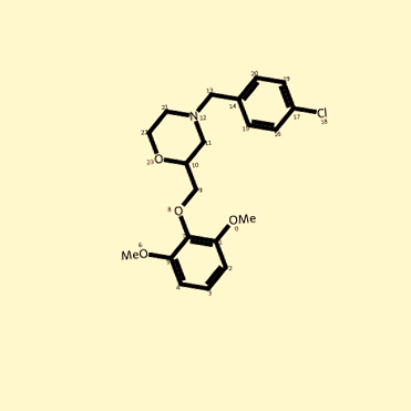 COc1cccc(OC)c1OCC1CN(Cc2ccc(Cl)cc2)CCO1